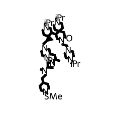 CSN1CCC(CCN(C)C2CN(C(C)CC3CN(CC4CC45CCN(C(C)C)CC5C4CN(CCN5CCN(C(C)C)CC5)C(=O)CC45CCN(C(C)C)CC5)CCN3C(C)C)C2)CC1